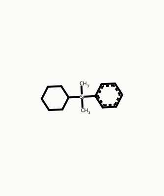 C[Si](C)(c1ccccc1)C1CCCCC1